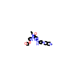 C=CCn1c(=O)c2cnc(Nc3ccc(N4CCC5(CCN(C)CC5)CC4)cc3)nc2n1-c1cccc(O[C@H]2CCOC2)n1